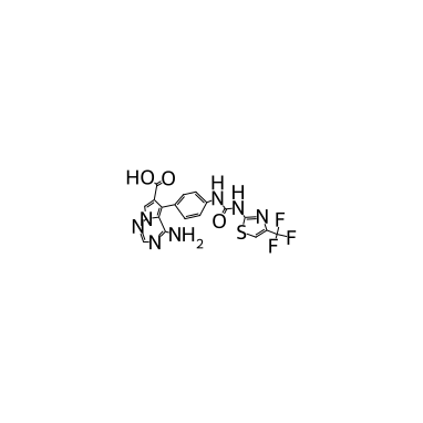 Nc1ncnn2cc(C(=O)O)c(-c3ccc(NC(=O)Nc4nc(C(F)(F)F)cs4)cc3)c12